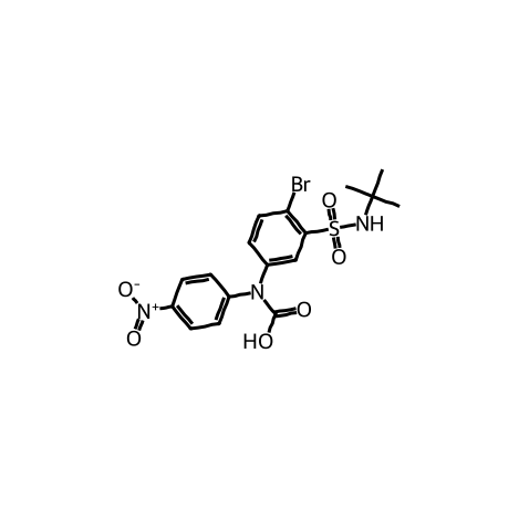 CC(C)(C)NS(=O)(=O)c1cc(N(C(=O)O)c2ccc([N+](=O)[O-])cc2)ccc1Br